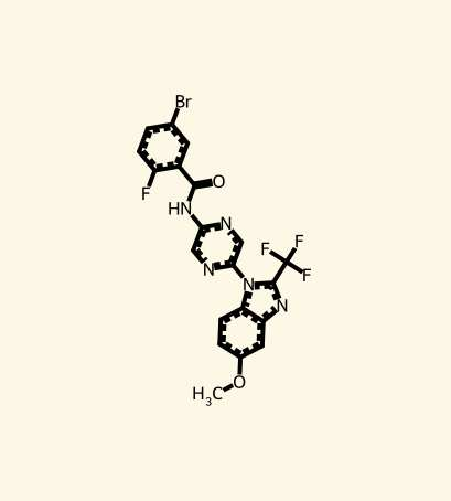 COc1ccc2c(c1)nc(C(F)(F)F)n2-c1cnc(NC(=O)c2cc(Br)ccc2F)cn1